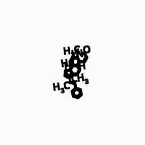 CC(Cc1ccccc1)[C@H]1CC[C@H]2[C@@H]3CC[C@H]4N(C)C(=O)C=C[C@]4(C)[C@H]3CC[C@]12C